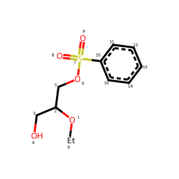 CCOC(CO)COS(=O)(=O)c1ccccc1